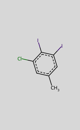 Cc1cc(Cl)c(I)c(I)c1